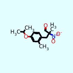 Cc1cc(OC(C)C)ccc1CC(C)(C=O)[N+](=O)[O-]